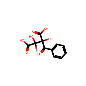 O=C(O)C(O)(Br)C(O)(C(=O)O)C(=O)c1ccccc1